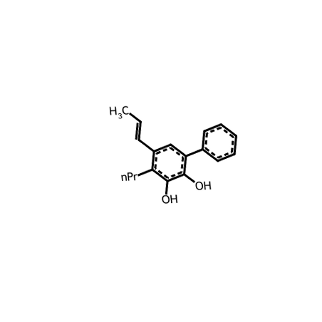 CC=Cc1cc(-c2ccccc2)c(O)c(O)c1CCC